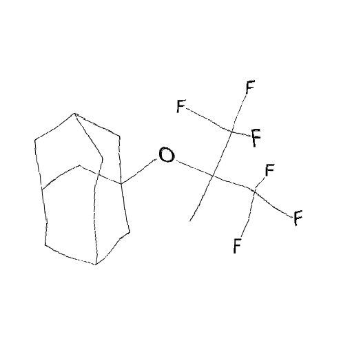 CC(OC12CC3CC(CC(C3)C1)C2)(C(F)(F)F)C(F)(F)F